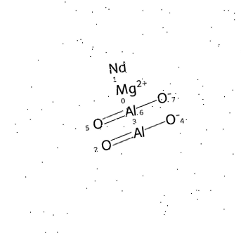 [Mg+2].[Nd].[O]=[Al][O-].[O]=[Al][O-]